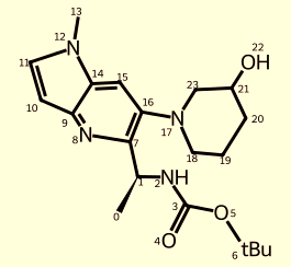 C[C@H](NC(=O)OC(C)(C)C)c1nc2ccn(C)c2cc1N1CCCC(O)C1